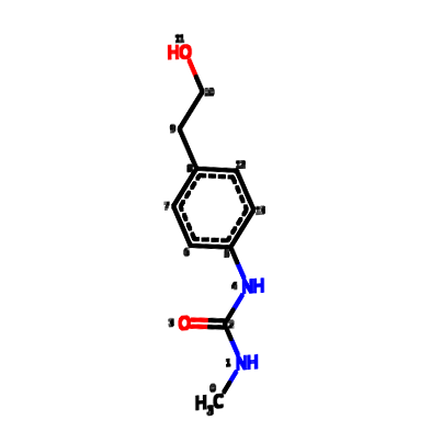 CNC(=O)Nc1ccc(CCO)cc1